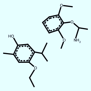 CCOc1cc(C)c(O)cc1C(C)C.COc1cccc(OC)c1OC(C)N